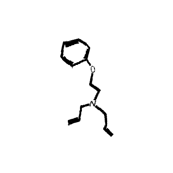 C=CCN(CC=C)CCOc1[c]cccc1